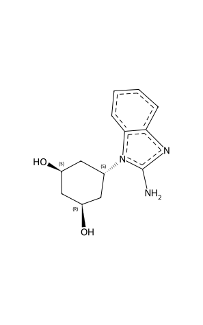 Nc1nc2ccccc2n1[C@H]1C[C@H](O)C[C@H](O)C1